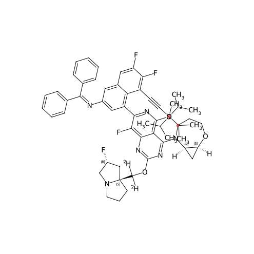 [2H]C([2H])(Oc1nc(N2CCCO[C@H]3C[C@H]32)c2c(OC)nc(-c3cc(N=C(c4ccccc4)c4ccccc4)cc4cc(F)c(F)c(C#C[Si](C(C)C)(C(C)C)C(C)C)c34)c(F)c2n1)[C@@]12CCCN1C[C@H](F)C2